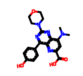 CN(C)c1cc(C(=O)O)nc2c(-c3ccc(O)cc3)nc(N3CCOCC3)nc12